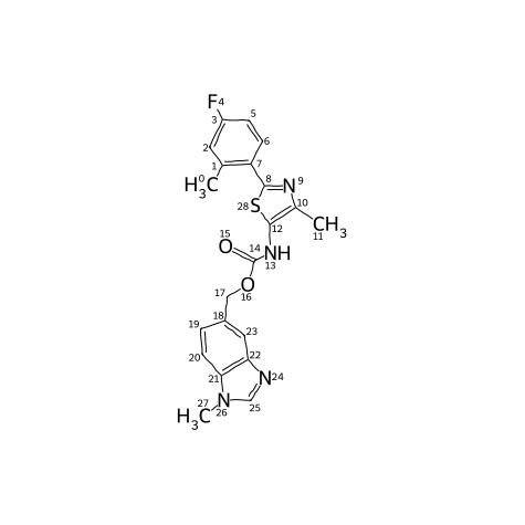 Cc1cc(F)ccc1-c1nc(C)c(NC(=O)OCc2ccc3c(c2)ncn3C)s1